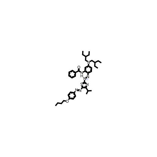 CCCCOc1ccc(N=Nc2sc(/N=N/c3ccc(N(CC(CC)CC)CC(CC)CC)cc3NC(=O)c3ccccc3)nc2C(C)C)cc1